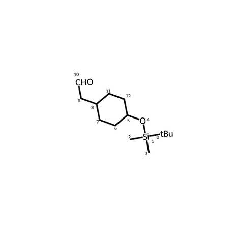 CC(C)(C)[Si](C)(C)OC1CCC(CC=O)CC1